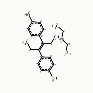 CC/C(=C(/CC)c1ccc(O)cc1)c1ccc(O)cc1.CCNCC